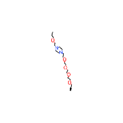 C#CCOCCOCCOCCOCCN1CCN(CCOCCC)CC1